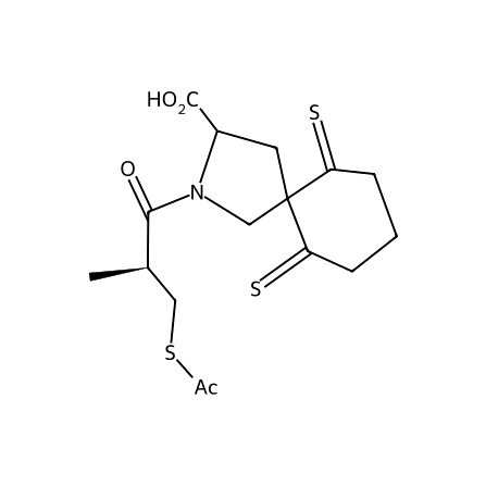 CC(=O)SC[C@@H](C)C(=O)N1CC2(CC1C(=O)O)C(=S)CCCC2=S